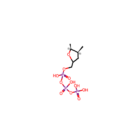 C[C@@H]1OC(COP(=O)(O)OP(=O)(O)OP(=O)(O)O)C[C@@H]1C